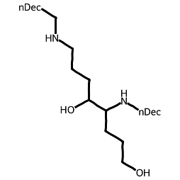 CCCCCCCCCCCNCCCC(O)C(CCCO)NCCCCCCCCCC